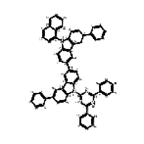 C1=CC(c2ccccc2)Cc2c1n(-c1cccc3ccccc13)c1ccc(-c3ccc4c(c3)c3cc(-c5ccccc5)ccc3n4-c3nc(-c4ccccc4)nc(-c4ccccc4)n3)cc21